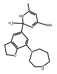 CNC1=NC(N)(c2cc3c(c(N4CCCNCC4)c2)OCC3)NC(C)=C1